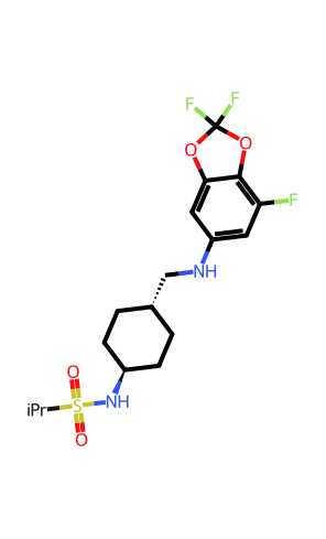 CC(C)S(=O)(=O)N[C@H]1CC[C@H](CNc2cc(F)c3c(c2)OC(F)(F)O3)CC1